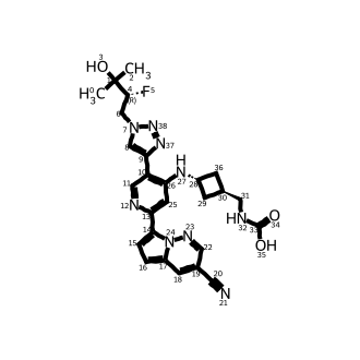 CC(C)(O)[C@H](F)Cn1cc(-c2cnc(-c3ccc4cc(C#N)cnn34)cc2N[C@H]2C[C@H](CNC(=O)O)C2)nn1